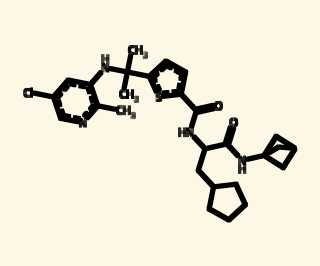 Cc1ncc(Cl)cc1NC(C)(C)c1ccc(C(=O)NC(CC2CCCC2)C(=O)NC23CC(C2)C3)s1